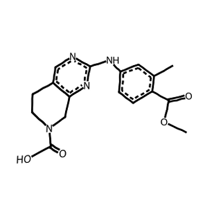 COC(=O)c1ccc(Nc2ncc3c(n2)CN(C(=O)O)CC3)cc1C